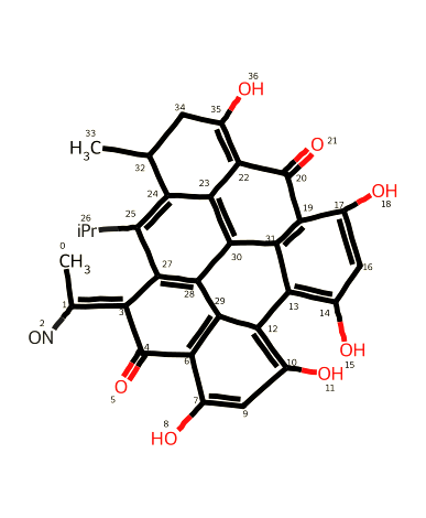 C/C(N=O)=c1/c(=O)c2c(O)cc(O)c3c4c(O)cc(O)c5c(=O)c6c7c(c(C(C)C)c1c(c23)c7c54)C(C)CC=6O